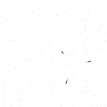 OC[C@H]1O[C@@H](OCCCC2CCCCC2)[C@H](O)[C@@H](O)[C@@H]1O